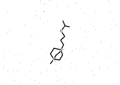 CC(C)OCCC[N+]12CC[N+](C)(CC1)CC2